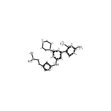 CCN(CC)CCc1csc(Nc2cc(-c3cnc(N)nc3C(F)(F)F)nc(N3CCOCC3)n2)c1